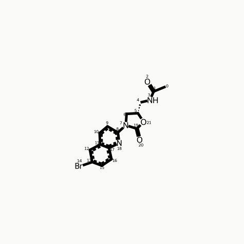 CC(=O)NC[C@H]1CN(c2ccc3cc(Br)ccc3n2)C(=O)O1